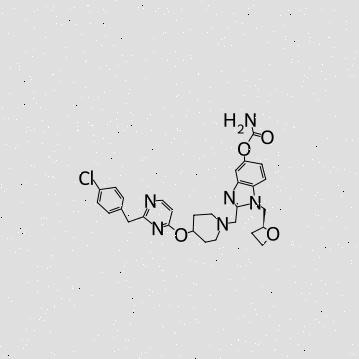 NC(=O)Oc1ccc2c(c1)nc(CN1CCC(Oc3ccnc(Cc4ccc(Cl)cc4)n3)CC1)n2C[C@@H]1CCO1